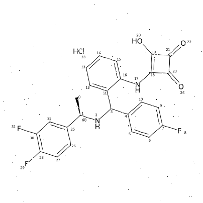 C[C@@H](NC(c1ccc(F)cc1)c1ccccc1Nc1c(O)c(=O)c1=O)c1ccc(F)c(F)c1.Cl